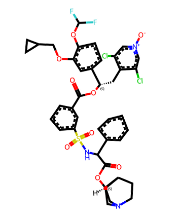 O=C(O[C@@H](Cc1c(Cl)c[n+]([O-])cc1Cl)c1ccc(OC(F)F)c(OCC2CC2)c1)c1cccc(S(=O)(=O)NC(C(=O)O[C@@H]2CN3CCC2CC3)c2ccccc2)c1